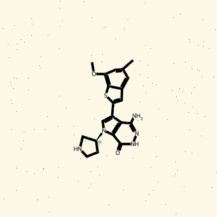 COc1cc(C)cc2cc(-c3cn([C@H]4CCNC4)c4c(=O)[nH]nc(N)c34)sc12